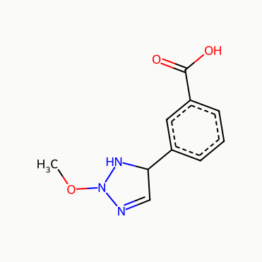 CON1N=CC(c2cccc(C(=O)O)c2)N1